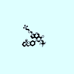 C[Si](C)(C)CCOCn1ccc2c3c(cnc21)C(=O)N(CC(F)(F)F)CN3[C@H]1CC[C@H](CN2CCCS2(=O)=O)CC1